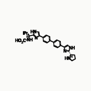 CC(C)[C@H](NC(=O)O)c1nc(-c2ccc(-c3ccc(-c4c[nH]c([C@@H]5CCCN5)n4)cc3)cc2)c[nH]1